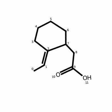 CC=C1CCCCC1CC(=O)O